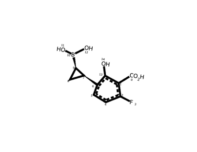 O=C(O)c1c(F)ccc([C@H]2C[C@H]2B(O)O)c1O